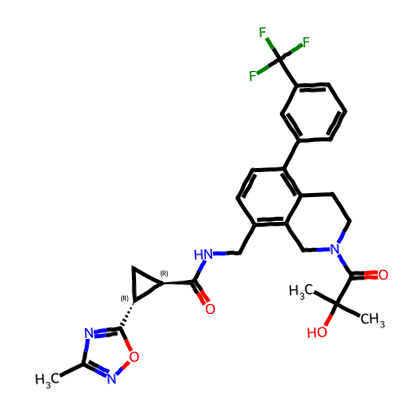 Cc1noc([C@@H]2C[C@H]2C(=O)NCc2ccc(-c3cccc(C(F)(F)F)c3)c3c2CN(C(=O)C(C)(C)O)CC3)n1